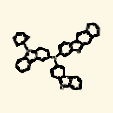 c1ccc(-n2c3ccccc3c3cc(N(c4ccc5c(c4)sc4cc6ccccc6cc45)c4ccc5oc6ccccc6c5c4)ccc32)cc1